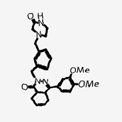 COc1ccc(C2=NN(Cc3cccc(CN4CCNC(=O)C4)c3)C(=O)C3CC=CCC23)cc1OC